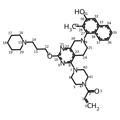 C=CC(=O)N1CCN(c2nc(OCCCN3CCCCC3)nc3c2CCN(c2c(C)c(O)cc4ccccc24)C3)CC1